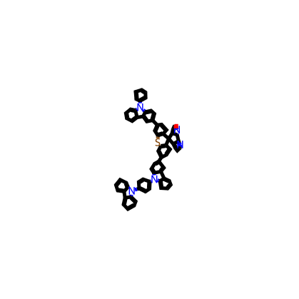 c1ccc(-n2c3ccccc3c3cc(-c4ccc5c(c4)Sc4cc(-c6ccc7c(c6)c6ccccc6n7-c6ccc(-n7c8ccccc8c8ccccc87)cc6)ccc4C54c5cccnc5-c5ncccc54)ccc32)cc1